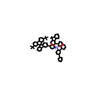 CC(C)(C)c1ccc2c(c1)C1(c3ccccc3-c3cc(-c4ccc(N(c5ccc(-c6ccccc6)cc5-c5ccccc5)c5ccccc5-c5cccc6c5-c5ccccc5C6(C)C)cc4)ccc31)c1cc(C(C)(C)C)ccc1-2